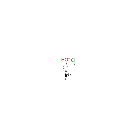 [Cl-].[Cl-].[Ir+3].[OH-]